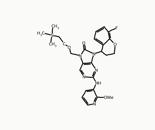 COc1ncccc1Nc1ncc2c(n1)n(C1CCOc3c(F)cccc31)c(=O)n2COCC[Si](C)(C)C